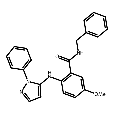 COc1ccc(Nc2ccnn2-c2ccccc2)c(C(=O)NCc2ccccc2)c1